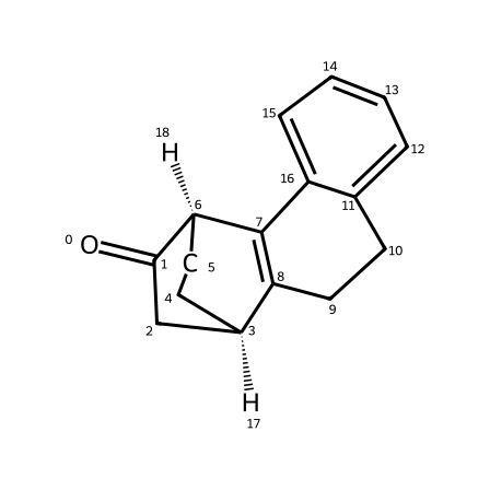 O=C1C[C@H]2CC[C@@H]1C1=C2CCc2ccccc21